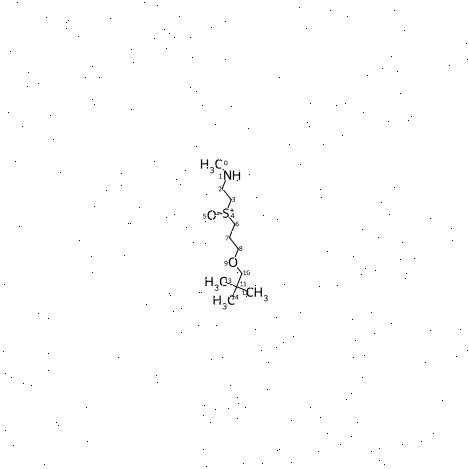 CNCC[S+]([O-])CCCOCC(C)(C)C